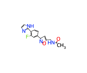 CC(=O)NCc1cc(-c2ccc(-c3ncc[nH]3)c(F)c2)no1